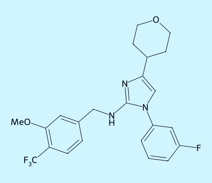 COc1cc(CNc2nc(C3CCOCC3)cn2-c2cccc(F)c2)ccc1C(F)(F)F